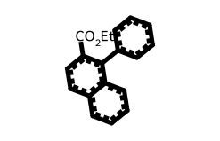 CCOC(=O)c1ccc2ccccc2c1-c1ccccc1